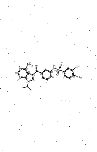 CC(C)n1cc(C(=O)c2cccc(NS(=O)(=O)c3ccc(Cl)c(Cl)c3)c2)c2c(N)ncnc21